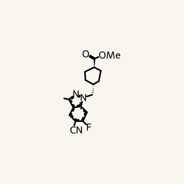 COC(=O)[C@H]1CC[C@H](Cn2nc(C)c3cc(C#N)c(F)cc32)CC1